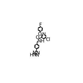 O=C(NCc1ccc(-c2nn[nH]n2)cc1)c1cc(Cl)cnc1Oc1ccc(F)cc1